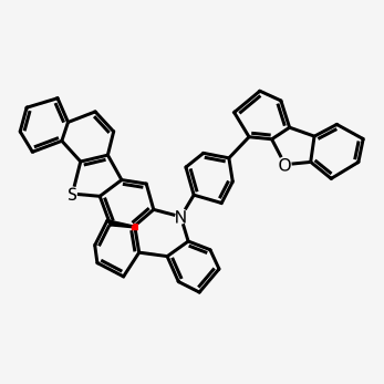 c1ccc(-c2ccccc2N(c2ccc(-c3cccc4c3oc3ccccc34)cc2)c2ccc3sc4c5ccccc5ccc4c3c2)cc1